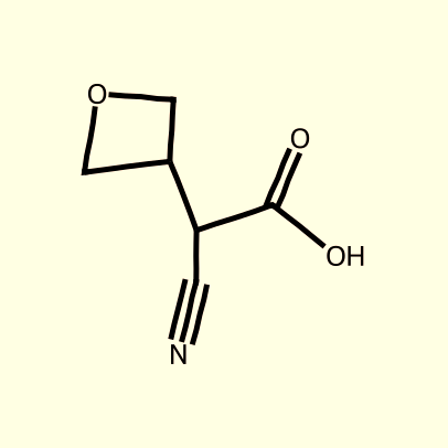 N#CC(C(=O)O)C1COC1